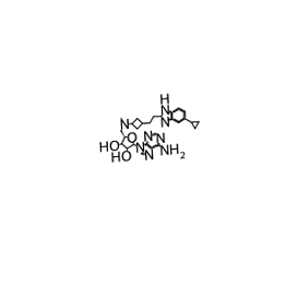 CN(C[C@H]1O[C@@H](n2cnc3c(N)ncnc32)[C@@H](O)[C@H]1O)C1CC(CCc2nc3cc(C4CC4)ccc3[nH]2)C1